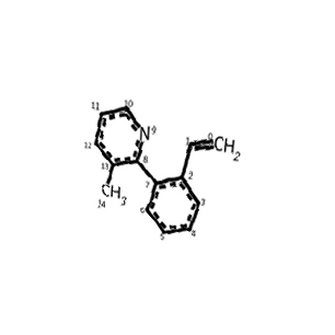 C=Cc1ccccc1-c1ncccc1C